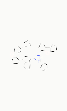 C1=CC2=C(c3nc(-c4ccccc4)nc(-c4cccc5c4oc4ccccc45)n3)C=CC(c3cccc4oc5ccc(-c6ccccc6)cc5c34)C2C=C1